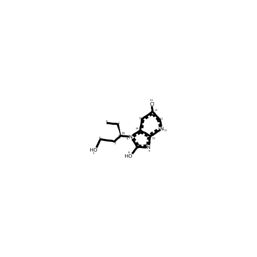 CC[C@H](CCO)n1c(O)nc2ncc(Cl)cc21